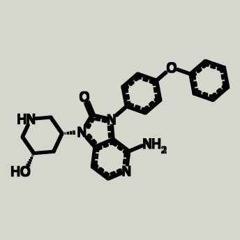 Nc1nccc2c1n(-c1ccc(Oc3ccccc3)cc1)c(=O)n2[C@H]1CNC[C@@H](O)C1